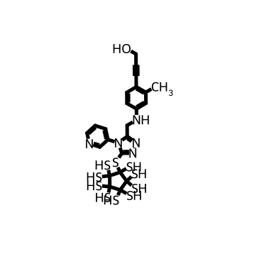 Cc1cc(NCc2nnc(SC3(S)C(S)(S)C(S)(S)C(S)(S)C3(S)S)n2-c2cccnc2)ccc1C#CCO